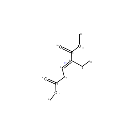 CC/C(=C\CC(=O)OC)C(=O)OC